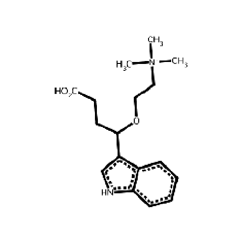 C[N+](C)(C)CCOC(CCC(=O)O)c1c[nH]c2ccccc12